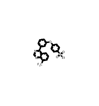 CCS(=O)(=O)c1ccc(Oc2cccc(-c3ncnc4c(C(F)(F)F)cccc34)c2)cc1